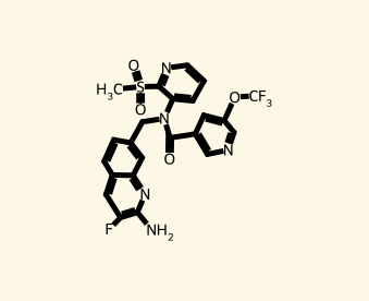 CS(=O)(=O)c1ncccc1N(Cc1ccc2cc(F)c(N)nc2c1)C(=O)c1cncc(OC(F)(F)F)c1